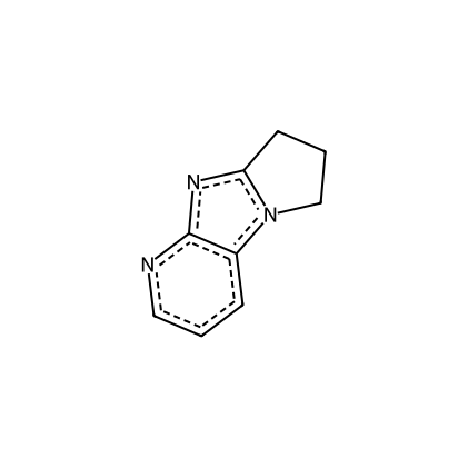 c1cnc2nc3n(c2c1)CCC3